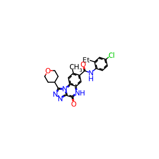 CCc1cc(Cl)ccc1NC(=O)c1cc2[nH]c(=O)c3nnc(C4CCOCC4)n3c2cc1C